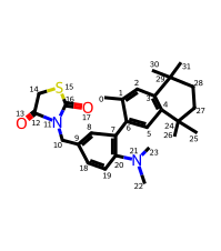 Cc1cc2c(cc1-c1cc(CN3C(=O)CSC3=O)ccc1N(C)C)C(C)(C)CCC2(C)C